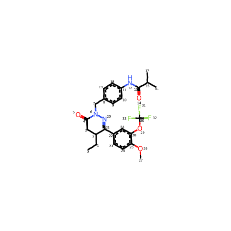 CCC1CC(=O)N(Cc2ccc(NC(=O)C(C)C)cc2)N=C1c1ccc(OC)c(OC(F)(F)F)c1